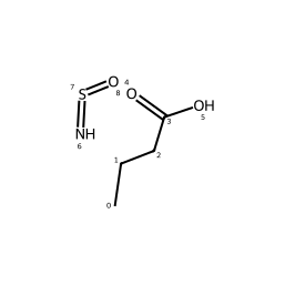 CCCC(=O)O.N=S=O